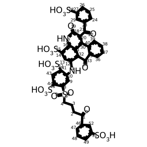 O=C(CCCS(=O)(=O)c1cc(Nc2cc(S(=O)(=O)O)c3[nH]c(=O)c(C(=O)c4cccc(S(=O)(=O)O)c4)c4c3c2C(=O)c2ccccc2-4)c(S(=O)(=O)O)cc1S(=O)(=O)O)c1cccc(S(=O)(=O)O)c1